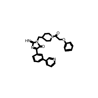 N=C1N=C(c2cccc(-c3cccnc3)c2)C(=O)N1CC1CCN(C(=O)COc2ccccc2)CC1